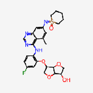 Cc1cc(N=S2(=O)CCCCC2)cc2ncnc(Nc3ccc(F)cc3OC3COC4C3OC[C@H]4O)c12